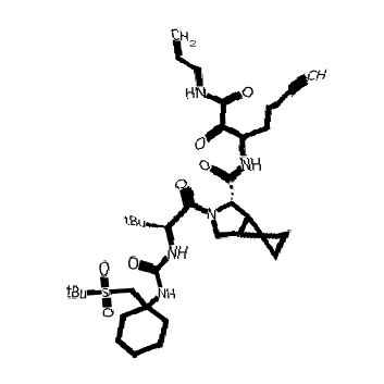 C#CCCC(NC(=O)[C@@H]1C2C(CN1C(=O)[C@@H](NC(=O)NC1(CS(=O)(=O)C(C)(C)C)CCCCC1)C(C)(C)C)C21CC1)C(=O)C(=O)NCC=C